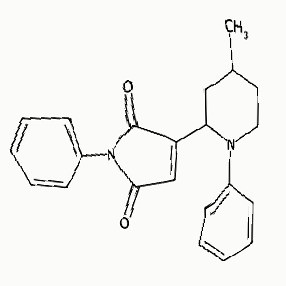 CC1CCN(c2ccccc2)C(C2=CC(=O)N(c3ccccc3)C2=O)C1